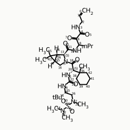 C=CCNC(=O)C(=O)C(CCC)NC(=O)[C@@H]1[C@@H]2[C@H](CN1C(=O)[C@@H](NC(=O)N[C@H](CN(C)S(=O)(=O)N(C)C)C(C)(C)C)C1(C)CCCCC1)C2(C)C